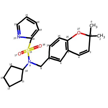 CC1(C)C=Cc2cc(CN(C3CCCC3)S(=O)(=O)c3ccccn3)ccc2O1